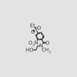 CCS(=O)(=O)c1[c]cc(C(=O)N(C)CCO)c([N+](=O)[O-])c1